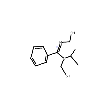 CC(C)N(CS)/C(=N\CS)c1ccccc1